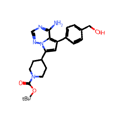 CC(C)(C)OC(=O)N1CCC(c2cc(-c3ccc(CO)cc3)c3c(N)ncnn23)CC1